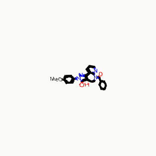 COc1ccc(-n2nc3c(c2O)CCN(C(=O)C2CCCCC2)c2ncccc2-3)cc1